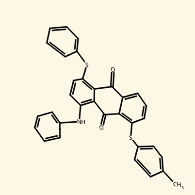 Cc1ccc(Sc2cccc3c2C(=O)c2c(Nc4ccccc4)ccc(Sc4ccccc4)c2C3=O)cc1